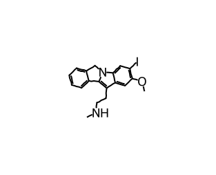 CNCCc1c2n(c3cc(I)c(OC)cc13)Cc1ccccc1-2